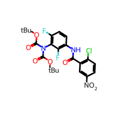 CC(C)(C)OC(=O)N(C(=O)OC(C)(C)C)c1c(F)ccc(NC(=O)c2cc([N+](=O)[O-])ccc2Cl)c1F